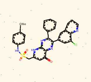 COc1ccc(NS(=O)(=O)Cc2cc(=O)c3nc(-c4cc(Cl)c5ncccc5c4)c(-c4ccccc4)nc3[nH]2)cc1